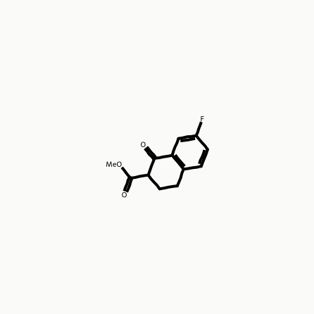 COC(=O)C1CCc2ccc(F)cc2C1=O